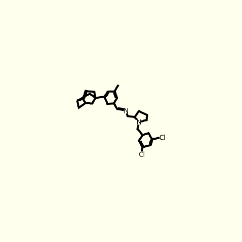 CC1=CC(/C=N/CC2CCCN2CC2C=C(Cl)C=C(Cl)C2)CC(C23CC=C4C(CC4C2)C3)=C1